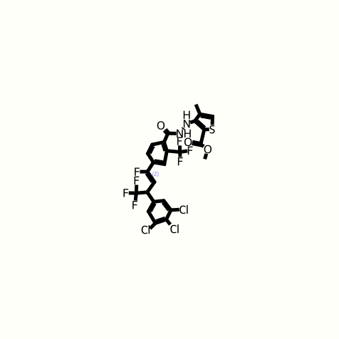 COC(=O)c1scc(C)c1NNC(=O)c1ccc(/C(F)=C/C(c2cc(Cl)c(Cl)c(Cl)c2)C(F)(F)F)cc1C(F)(F)F